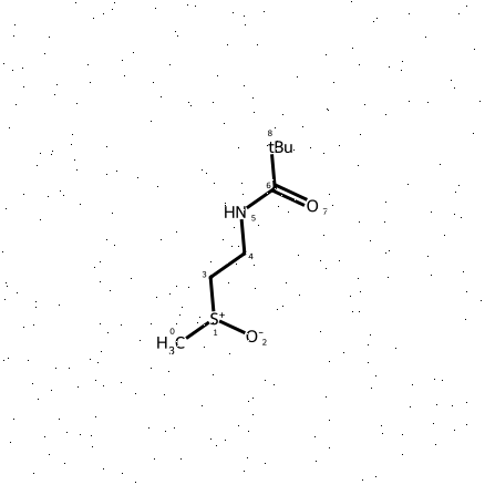 C[S+]([O-])CCNC(=O)C(C)(C)C